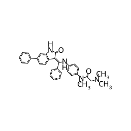 CN(C)CC(=O)N(C)c1ccc(N/C(=C2\C(=O)Nc3cc(-c4ccccc4)ccc32)c2ccccc2)cc1